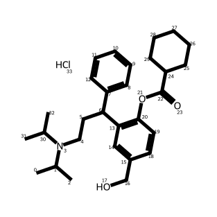 CC(C)N(CCC(c1ccccc1)c1cc(CO)ccc1OC(=O)C1CCCCC1)C(C)C.Cl